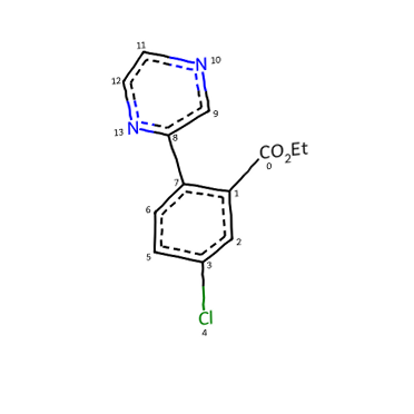 CCOC(=O)c1cc(Cl)ccc1-c1cnccn1